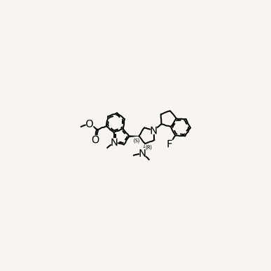 COC(=O)c1cccc2c([C@H]3CN(C4CCc5cccc(F)c54)C[C@@H]3N(C)C)cn(C)c12